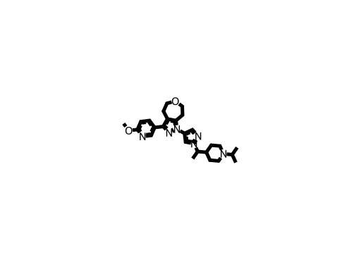 COc1ccc(-c2nn(-c3cnn(C(C)C4CCN(C(C)C)CC4)c3)c3c2CCOCC3)cn1